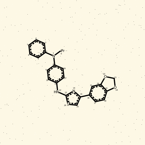 CC(C)N(c1ccccc1)c1ccc(Nc2nc(-c3ccc4c(c3)OCO4)cs2)cc1